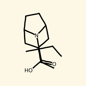 CCC(C)(CC)N1C2CCC1CC(C(=O)O)C2